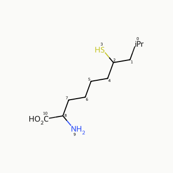 CC(C)CC(S)CCCCC(N)C(=O)O